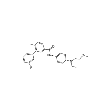 CCN(CCOC)c1ccc(NC(=O)c2ccc(C)c(-c3cccc(F)c3)c2)cc1